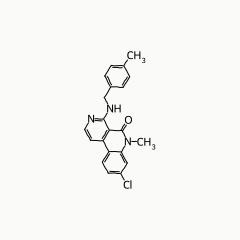 Cc1ccc(CNc2nccc3c2c(=O)n(C)c2cc(Cl)ccc32)cc1